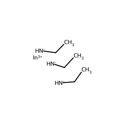 CC[NH-].CC[NH-].CC[NH-].[In+3]